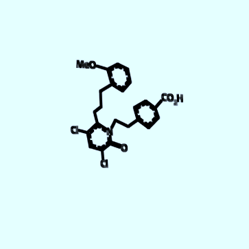 COc1ccccc1CCCc1c(Cl)cc(Cl)c(=O)n1CCc1ccc(C(=O)O)cc1